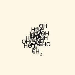 C=CCC(CO)C(CC=O)(CC=O)NC(=O)[C@H](O)[C@@H](O)[C@H](O)[C@H](O)CO.SS